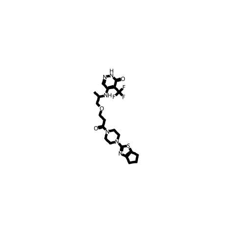 CC(COCCC(=O)N1CCN(c2nc3c(s2)CCC3)CC1)Nc1cn[nH]c(=O)c1C(F)(F)F